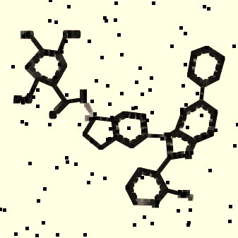 COc1cc(O)c(C=O)cc1C(=O)N[C@H]1CCc2cc(-n3c(-c4cccnc4N)nc4ccc(-c5ccccc5)nc43)ccc21